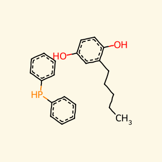 CCCCCc1cc(O)ccc1O.c1ccc(Pc2ccccc2)cc1